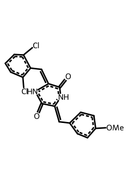 COc1ccc(C=c2[nH]c(=O)c(=Cc3c(Cl)cccc3Cl)[nH]c2=O)cc1